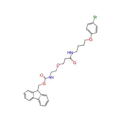 O=C(CCOCCNC(=O)OCC1c2ccccc2-c2ccccc21)NCCCCOc1ccc(Br)cc1